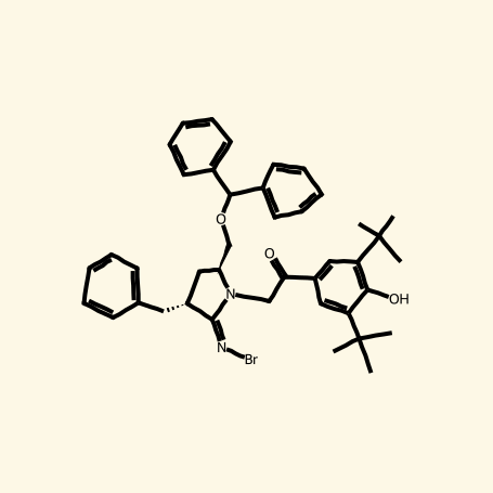 CC(C)(C)c1cc(C(=O)CN2/C(=N\Br)[C@H](Cc3ccccc3)C[C@H]2COC(c2ccccc2)c2ccccc2)cc(C(C)(C)C)c1O